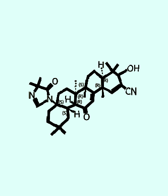 CC1(C)CC[C@]2(N3C=NC(C)(C)C3=O)CC[C@]3(C)[C@H](C(=O)C=C4[C@@]5(C)C=C(C#N)C(O)C(C)(C)[C@@H]5CC[C@]43C)[C@@H]2C1